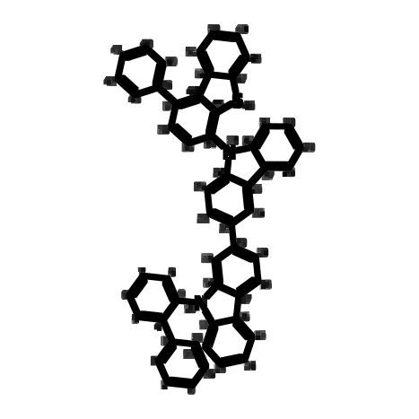 c1ccc(-c2ccccc2-n2c3ccccc3c3ccc(-c4ccc5c(c4)c4ccccc4n5-c4ccc(-c5ccccc5)c5c4sc4ccccc45)cc32)cc1